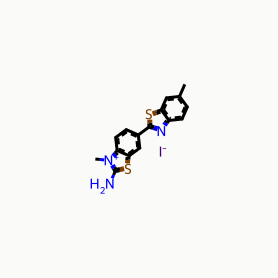 Cc1ccc2nc(-c3ccc4c(c3)sc(N)[n+]4C)sc2c1.[I-]